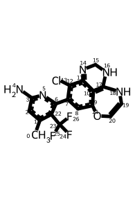 Cc1cc(N)nc(-c2cc3c4c(c2Cl)=NCNC=4NC=CO3)c1C(F)(F)F